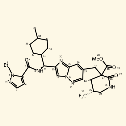 CCn1nccc1C(=O)N[C@H](c1cn2ncc(CC3(C(=O)OC)C[C@@H](C(F)(F)F)CNC3=O)cc2n1)C1CCC(C)CC1